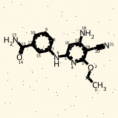 CCOc1nc(Nc2cccc(C(N)=O)c2)cc(N)c1C#N